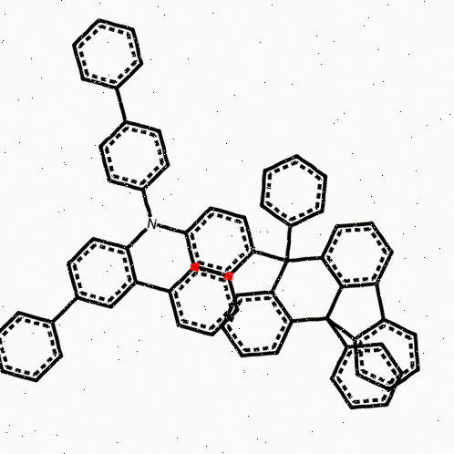 c1ccc(-c2ccc(N(c3ccc(C4(c5ccccc5)c5ccccc5C5(c6ccccc6)c6ccccc6-c6cccc4c65)cc3)c3ccc(-c4ccccc4)cc3-c3ccccc3)cc2)cc1